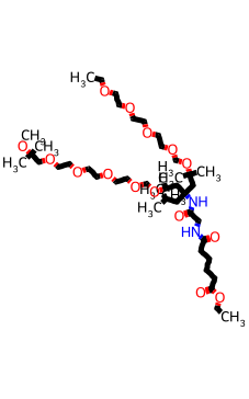 CCOCCOCCOCCOCOC(C)(C)CC(CC(C)C)(CC(C)(C)OCOCCOCCOCCOCC(C)(C)OC)NC(=O)CNC(=O)CCCCC(=O)OCC